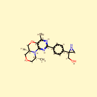 C[C@@H]1COC[C@H]2COc3c(nc(-c4ccc(C5(CO)CN5)cc4)nc3C(C)(C)C)N21